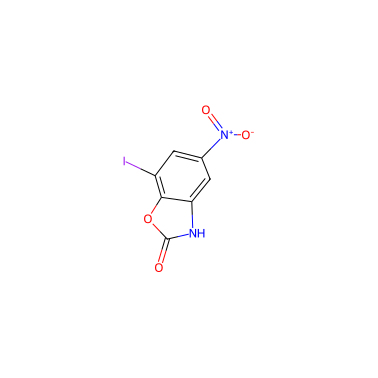 O=c1[nH]c2cc([N+](=O)[O-])cc(I)c2o1